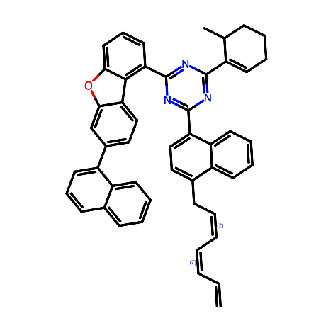 C=C/C=C\C=C/Cc1ccc(-c2nc(C3=CCCCC3C)nc(-c3cccc4oc5cc(-c6cccc7ccccc67)ccc5c34)n2)c2ccccc12